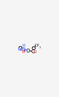 O=C(Nc1cccnn1)N1CCC(=C2CCOc3cc(C(F)(F)F)ccc32)CC1